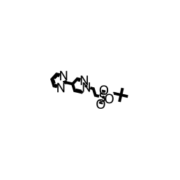 CC(C)(C)COS(=O)(=O)CCN1C=CC(c2ncccn2)C=N1